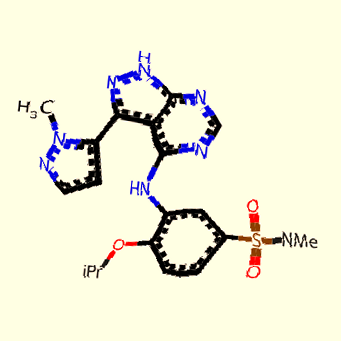 CNS(=O)(=O)c1ccc(OC(C)C)c(Nc2ncnc3[nH]nc(-c4ccnn4C)c23)c1